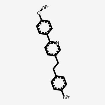 CCCOc1ccc(-c2ccc(CCc3ccc(CCC)cc3)cn2)cc1